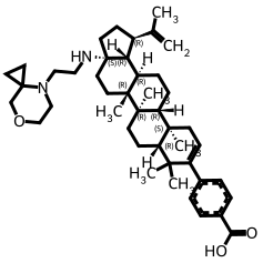 C=C(C)[C@@H]1CC[C@]2(NCCN3CCOCC34CC4)CC[C@]3(C)[C@H](CC[C@@H]4[C@@]5(C)CC=C(c6ccc(C(=O)O)cc6)C(C)(C)[C@@H]5CC[C@]43C)[C@@H]12